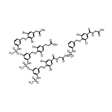 CS(=O)(=O)Nc1cc(F)cc(COc2c(Br)cc(C(=O)NCC(=O)O)cc2Br)c1.CS(=O)(=O)Nc1cc(F)cc(COc2c(Cl)cc(CCC(=O)O)cc2Cl)c1.CS(=O)(=O)Nc1cccc(COc2c(Br)cc(CC(=O)O)cc2Br)c1.CS(=O)(=O)Nc1cccc(COc2c(Cl)cc(C(=O)NCC(=O)O)cc2Cl)c1